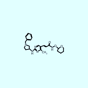 Cc1nc(NC2CCN(Cc3ccccc3)C2)ncc1C=CC(=O)NOC1CCCCO1